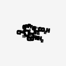 CCCOc1cc(C(C(N)=O)[S+]([O-])CC(=O)O)c(Cl)cc1Cl